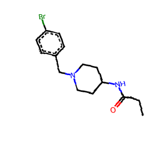 CCC(=O)NC1CCN(Cc2ccc(Br)cc2)CC1